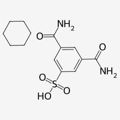 C1CCCCC1.NC(=O)c1cc(C(N)=O)cc(S(=O)(=O)O)c1